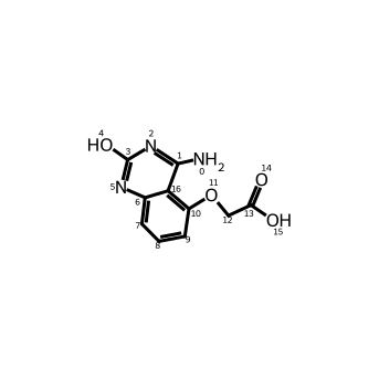 Nc1nc(O)nc2cccc(OCC(=O)O)c12